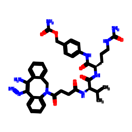 CC(C)[C@H](NC(=O)CCC(=O)N1Cc2ccccc2/C(N)=C(/N=N)c2ccccc21)C(=O)N[C@@H](CCCNC(N)=O)C(=O)Nc1ccc(COC(N)=O)cc1